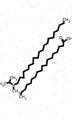 CCCCCCCCCCCCCCCCCC(=O)O.CCCCCCCCCCCCCCCCCCCCN(C)C(C)C